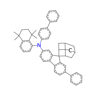 CC1(C)CCC(C)(C)c2c(N(c3ccc(-c4ccccc4)cc3)c3ccc4c(c3)C3(c5cc(-c6ccccc6)ccc5-4)C4CC5CC6CC3C64C5)cccc21